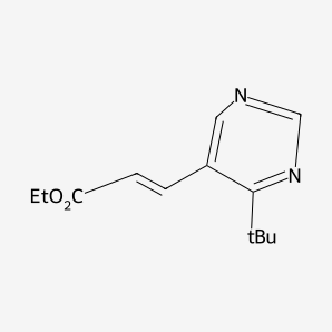 CCOC(=O)/C=C/c1cncnc1C(C)(C)C